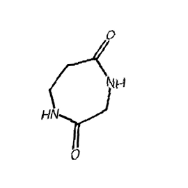 O=C1CCNC(=O)CN1